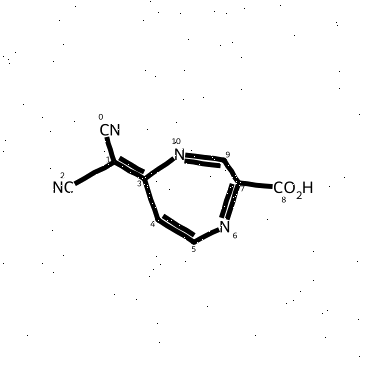 N#CC(C#N)=C1C=CN=C(C(=O)O)C=N1